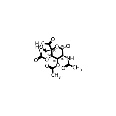 CC(=O)N[C@H]1[C@@H](OC(C)=O)[C@H](OC(C)=O)[C@](CO)(C(C)=O)O[C@@H]1Cl